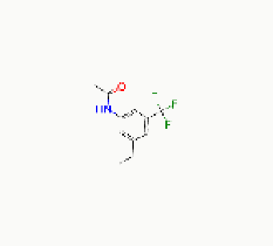 CCc1cc(NC(C)=O)cc(C(F)(F)F)c1